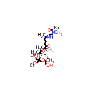 C=C(CCCC(=O)C(C)(C)OCC(C)(C)OCC(COCC)(COCC)COC(C)CO)NCCN(C)C(=O)C(C)(C)C